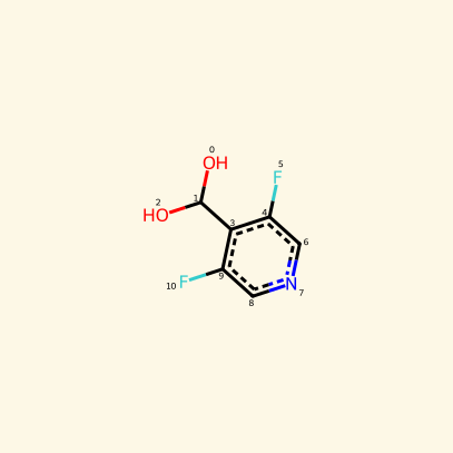 OC(O)c1c(F)cncc1F